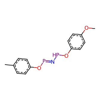 COc1ccc(OPN=POc2ccc(C)cc2)cc1